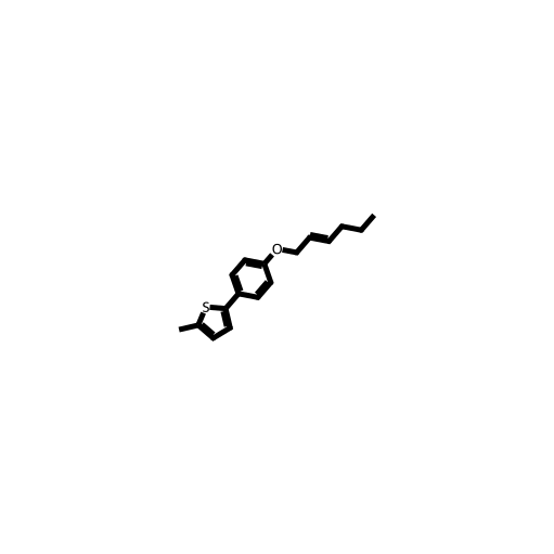 CCC/C=C/COc1ccc(-c2ccc(C)s2)cc1